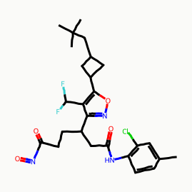 Cc1ccc(NC(=O)CC(CCC(=O)N=O)c2noc(C3CC(CC(C)(C)C)C3)c2C(F)F)c(Cl)c1